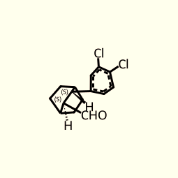 O=C[C@H]1C2CCC(CC2)[C@@H]1c1ccc(Cl)c(Cl)c1